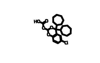 O=C(O)OC1Oc2ccc(Cl)cc2C(C2CCCCCC2)(C2CCCCCC2)O1